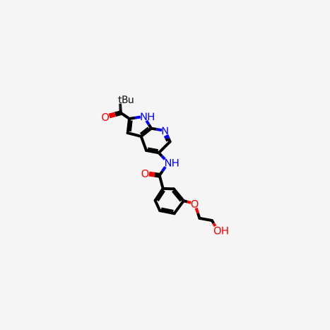 CC(C)(C)C(=O)c1cc2cc(NC(=O)c3cccc(OCCO)c3)cnc2[nH]1